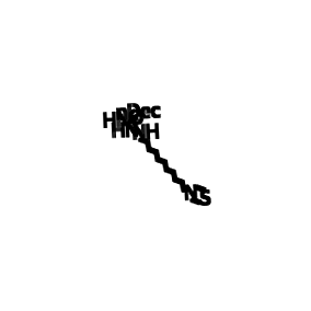 CCCCCCCCCCNC(=O)NNCCCCCCCCCCCN1CCSCC1